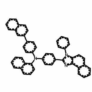 c1ccc(-n2c(-c3ccc(N(c4ccc(-c5ccc6ccccc6c5)cc4)c4cccc5ccccc45)cc3)nc3c4ccccc4ccc32)cc1